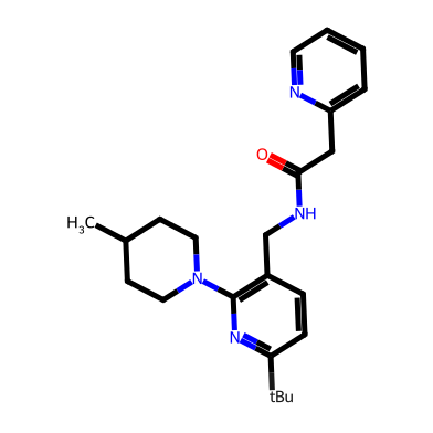 CC1CCN(c2nc(C(C)(C)C)ccc2CNC(=O)Cc2ccccn2)CC1